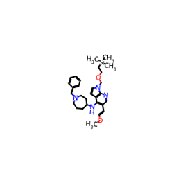 COC=Cc1cnc2c(ccn2COCC[Si](C)(C)C)c1NC1CCCN(Cc2ccccc2)CC1